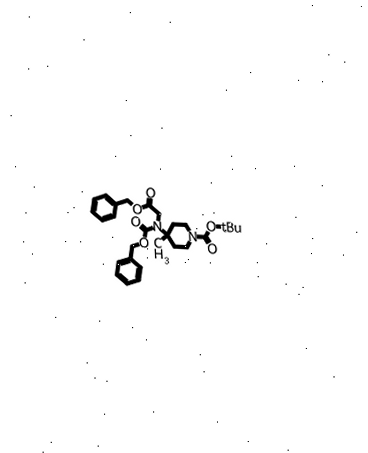 CC(C)(C)OC(=O)N1CCC(C)(N(CC(=O)OCc2ccccc2)C(=O)OCc2ccccc2)CC1